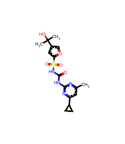 Cc1cc(C2CC2)nc(NC(=O)NS(=O)(=O)c2cc(C(C)(C)O)co2)n1